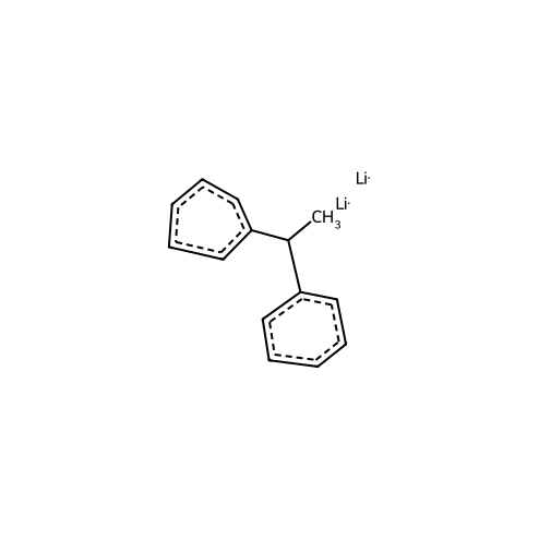 CC(c1ccccc1)c1ccccc1.[Li].[Li]